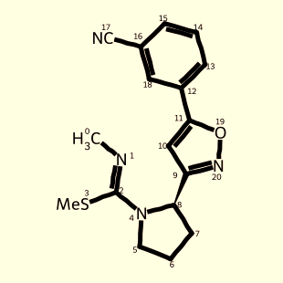 CN=C(SC)N1CCC[C@@H]1c1cc(-c2cccc(C#N)c2)on1